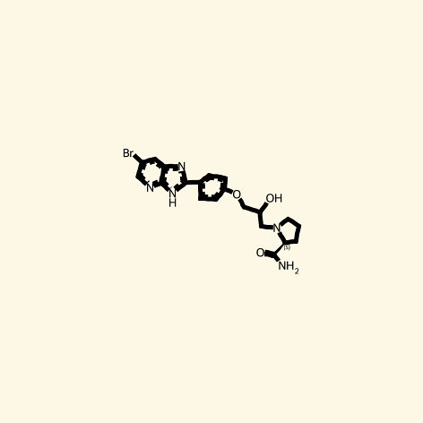 NC(=O)[C@@H]1CCCN1CC(O)COc1ccc(-c2nc3cc(Br)cnc3[nH]2)cc1